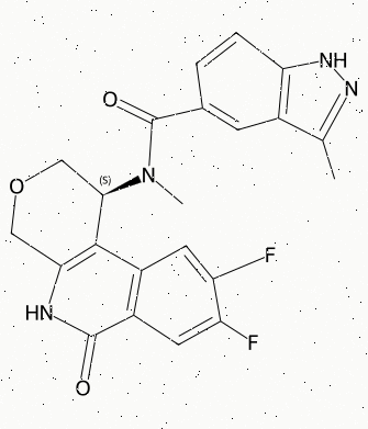 Cc1n[nH]c2ccc(C(=O)N(C)[C@@H]3COCc4[nH]c(=O)c5cc(F)c(F)cc5c43)cc12